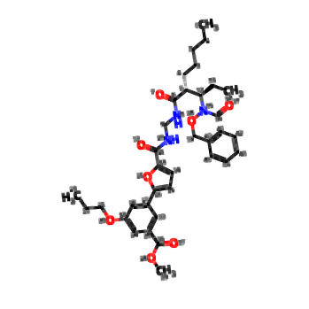 CCCCC[C@@H](C(=O)NCNC(=O)c1ccc(-c2cc(OCCC)cc(C(=O)OC)c2)o1)[C@@H](CC)N(C=O)OCc1ccccc1